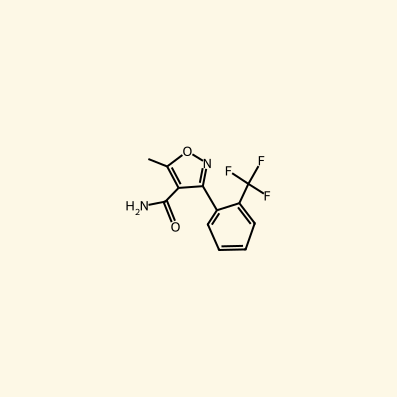 Cc1onc(-c2ccccc2C(F)(F)F)c1C(N)=O